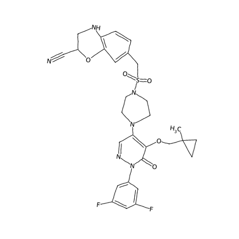 CC1(COc2c(N3CCN(S(=O)(=O)Cc4ccc5c(c4)OC(C#N)CN5)CC3)cnn(-c3cc(F)cc(F)c3)c2=O)CC1